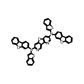 c1ccc2sc(N(c3ccc4c(c3)oc3ccccc34)c3cnc4c(c3)oc3cc(N(c5ccc6c(c5)oc5ccccc56)c5cc6ccccc6s5)ncc34)cc2c1